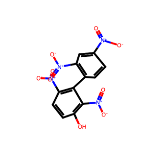 O=[N+]([O-])c1ccc(-c2c([N+](=O)[O-])ccc(O)c2[N+](=O)[O-])c([N+](=O)[O-])c1